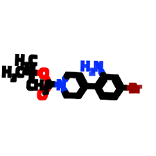 CC(C)(C)OC(=O)N1CC=C(c2ccc(Br)cc2N)CC1